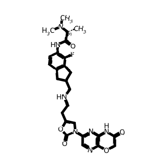 C[C@H](C(=O)Nc1ccc2c(c1F)CC(CNCCC1CN(c3cnc4c(n3)NC(=O)CO4)C(=O)O1)C2)N(C)C